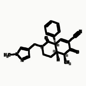 C[C@@H]1C(=O)C(C#N)=C[C@]2(c3ccccc3)C(=O)N(Cc3cnn(C)c3)CC[C@@H]12